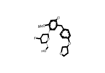 COc1cc(Cl)c(Cc2ccc(OC3CCOC3)cc2)cc1[C@H]1CC(F)C[C@@H](CO)O1